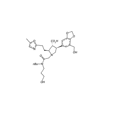 CCCCN(CCCO)C(=O)CN1C[C@H](c2cc(CO)c3c(c2)OCO3)[C@@H](C(=O)O)[C@@H]1CCc1ncc(C)o1